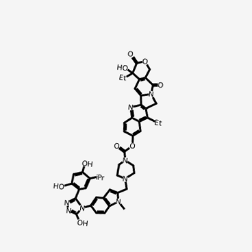 CCc1c2c(nc3ccc(OC(=O)N4CCN(Cc5cc6cc(-n7c(O)nnc7-c7cc(C(C)C)c(O)cc7O)ccc6n5C)CC4)cc13)-c1cc3c(c(=O)n1C2)COC(=O)C3(O)CC